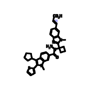 Cn1c(C2(N(N)C(=O)c3ccc4c(C5CCCC5)c(-c5cccs5)n(C)c4c3)CCC2)nc2ccc(/C=C/C(=O)O)cc21